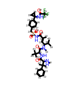 CNC(C(=O)NC(C(=O)N(C)C(/C=C(\C)C(=O)NS(=O)(=O)Cc1ccc(C2(NC(=O)C(F)(F)F)CC2)cc1)C(C)C)C(C)(C)C)C(C)(C)c1ccccc1